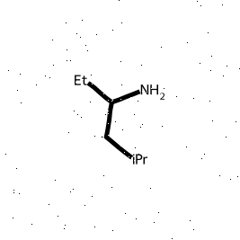 CCC(N)[CH]C(C)C